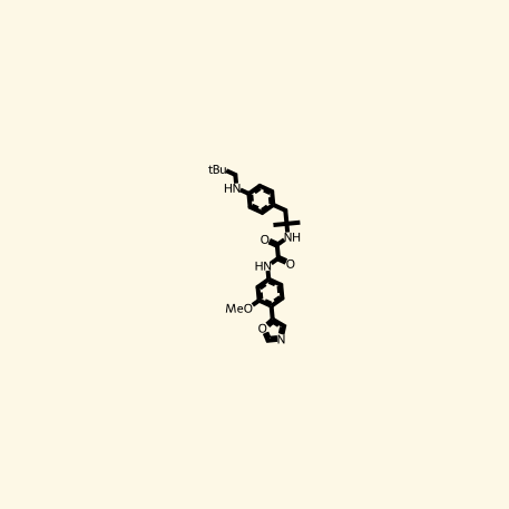 COc1cc(NC(=O)C(=O)NC(C)(C)Cc2ccc(NCC(C)(C)C)cc2)ccc1-c1cnco1